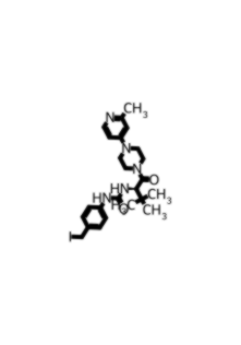 Cc1cc(N2CCN(C(=O)[C@H](NC(=O)Nc3ccc(CI)cc3)C(C)(C)C)CC2)ccn1